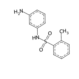 Cc1ccccc1S(=O)(=O)Nc1cccc(N)c1